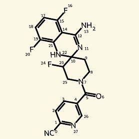 N#Cc1ccc(C(=O)N2CCC3(N=C(N)c4c(F)ccc(F)c4N3)C(F)C2)cn1